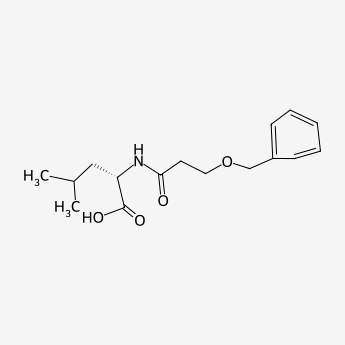 CC(C)C[C@H](NC(=O)CCOCc1ccccc1)C(=O)O